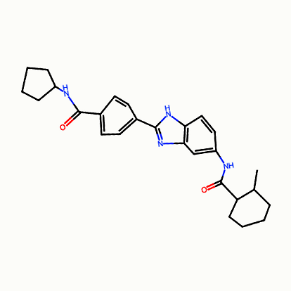 CC1CCCCC1C(=O)Nc1ccc2[nH]c(-c3ccc(C(=O)NC4CCCC4)cc3)nc2c1